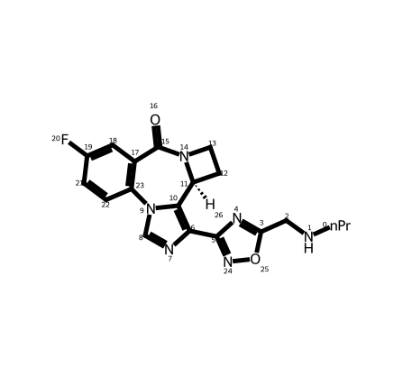 CCCNCc1nc(-c2ncn3c2[C@@H]2CCN2C(=O)c2cc(F)ccc2-3)no1